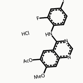 COc1cc2ncnc(Nc3ccc(F)cc3F)c2cc1OC(C)=O.Cl